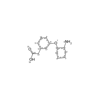 Nc1ccccc1Oc1cccc(CC(=O)O)c1